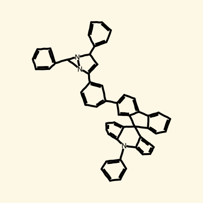 C1=C(c2cccc(-c3ccc4c(c3)C3(c5ccccc5-4)c4ccccc4N(c4ccccc4)c4ccccc43)c2)N2C(c3ccccc3)N2C1c1ccccc1